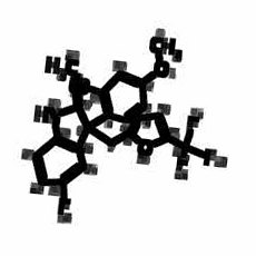 COc1ccc(C2(Cc3ccc(C(F)(F)F)o3)C(=O)Nc3ccc(F)cc32)c(OC)c1